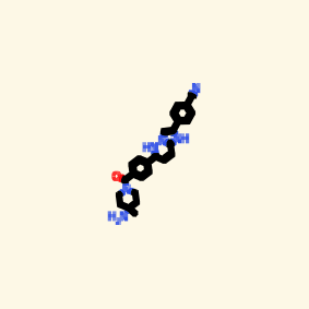 CC1(N)CCN(C(=O)c2ccc(C(=N)/C=C\c3ncc(-c4ccc(C#N)cc4)[nH]3)cc2)CC1